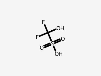 O=S(=O)(O)C(O)(F)F